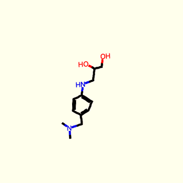 CN(C)Cc1ccc(NCC(O)CO)cc1